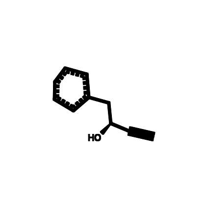 C#C[C@@H](O)Cc1ccccc1